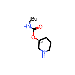 CC(C)(C)NC(=O)O[C@H]1CCCNC1